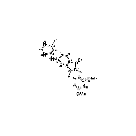 COc1ccc(CN2C(=O)c3ccc(Nc4cc(C)ncn4)cc3C2C)c(OC)c1